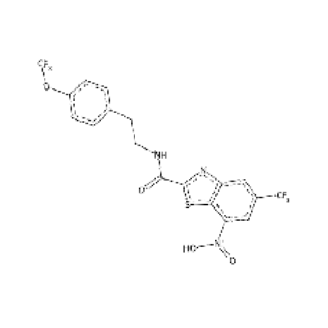 O=C(NCCc1ccc(OC(F)(F)F)cc1)c1nc2cc(C(F)(F)F)cc([N+](=O)O)c2s1